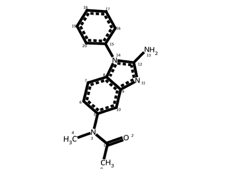 CC(=O)N(C)c1ccc2c(c1)nc(N)n2-c1ccccc1